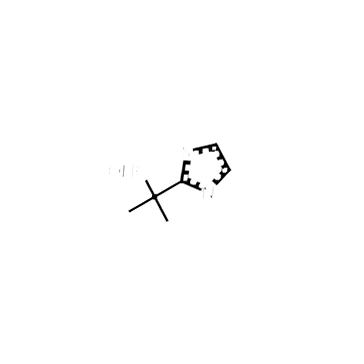 CC(C)([C]=O)c1nccs1